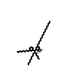 CCCCCCCCCCCCCCCCCc1cccc(C(=C(CCCCCCCC)C(=C=[N+]=[N-])CCCC)c2cccc(CCCCCCCC)c2)c1